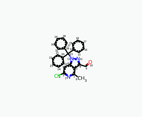 Cc1nc(Cl)cc2c1c(C=O)nn2C(c1ccccc1)(c1ccccc1)c1ccccc1